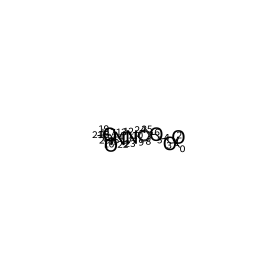 CC(=O)OCCOc1ccc(N2CCN(C(=O)OC(C)(C)C)CC2)cc1